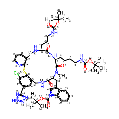 CN1C(=O)[C@H](CCCCNC(=O)OC(C)(C)C)NC(=O)[C@H](CCCNC(=O)OC(C)(C)C)NCc2cccnc2Sc2c(Cl)cc(-c3nn[nH]n3)cc2CNC(=O)[C@@H]1Cc1cn(C(=O)OC(C)(C)C)c2ccccc12